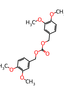 COc1ccc(COC(=O)OCc2ccc(OC)c(OC)c2)cc1OC